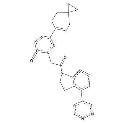 O=C(Cn1nc(C2=CCC3(CC2)CC3)ccc1=O)N1CCc2c(-c3ccnnc3)cccc21